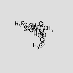 CCO[C@@H]1OCC(OC(=O)N[C@H](CCN(CC(C)C)S(=O)(=O)c2ccc(OC)cc2)Cc2ccccc2)[C@@H]1C